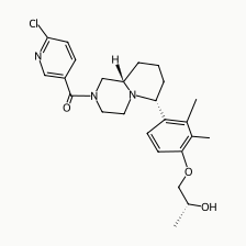 Cc1c(OC[C@@H](C)O)ccc([C@H]2CCC[C@H]3CN(C(=O)c4ccc(Cl)nc4)CCN32)c1C